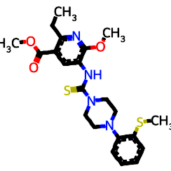 CCc1nc(OC)c(NC(=S)N2CCN(c3ccccc3SC)CC2)cc1C(=O)OC